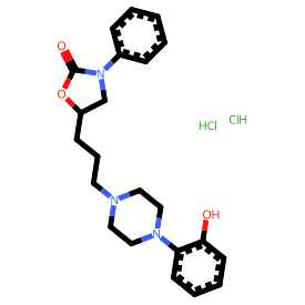 Cl.Cl.O=C1OC(CCCN2CCN(c3ccccc3O)CC2)CN1c1ccccc1